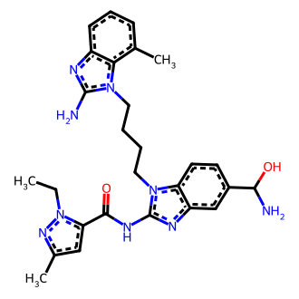 CCn1nc(C)cc1C(=O)Nc1nc2cc(C(N)O)ccc2n1CCCCn1c(N)nc2cccc(C)c21